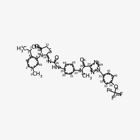 Cc1ccc(C(C)C)c(N2C(=O)CSC2=NC(=O)Nc2ccc(N(C)C(=O)c3ncn(-c4ccc(OC(F)(F)F)cc4)n3)cc2)c1